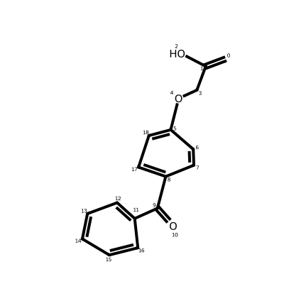 C=C(O)COc1ccc(C(=O)c2ccccc2)cc1